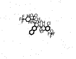 CC(NC(=O)c1cc2ccccc2cc1NC(=O)Nc1c(Cl)cc(OC(F)(F)F)cc1Cl)(C(=O)O)C1CCC(C(F)(F)F)CC1